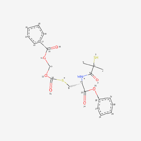 CC(C)(S)C(=O)N[C@@H](CSC(=O)OCOC(=O)c1ccccc1)C(=O)Oc1ccccc1